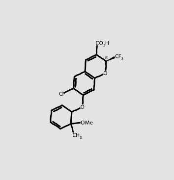 COC1(C)C=CC=CC1Oc1cc2c(cc1Cl)C=C(C(=O)O)[C@@H](C(F)(F)F)O2